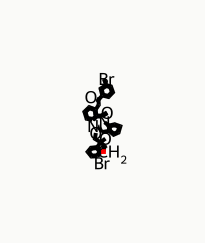 C=CC1(c2cccc(Br)c2)COC2(O1)c1ccccc1-n1c2nc2cccc(CC(=O)c3cccc(Br)c3)c2c1=O